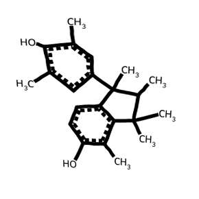 Cc1cc(C2(C)c3ccc(O)c(C)c3C(C)(C)C2C)cc(C)c1O